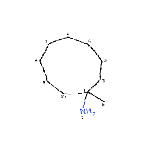 CC1(N)CCCCCCCC1